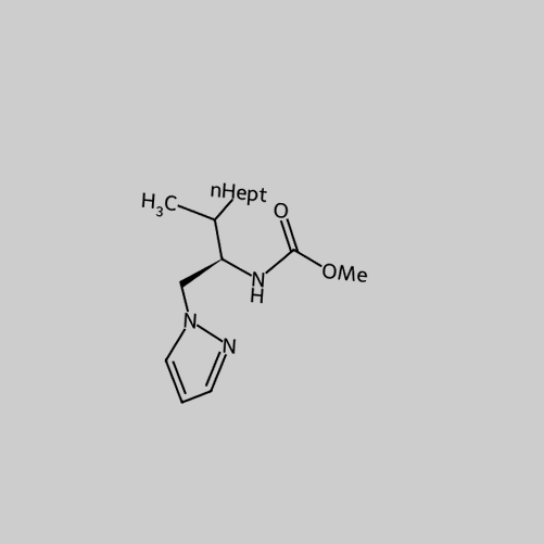 CCCCCCCC(C)[C@H](Cn1cccn1)NC(=O)OC